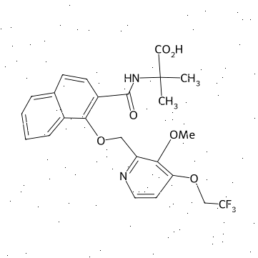 COc1c(OCC(F)(F)F)ccnc1COc1c(C(=O)NC(C)(C)C(=O)O)ccc2ccccc12